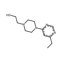 CCc1cc(N2CCN(CCO)CC2)ncn1